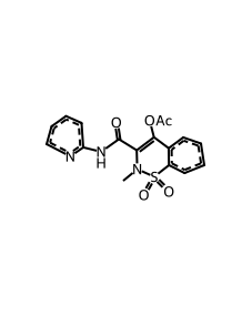 CC(=O)OC1=C(C(=O)Nc2ccccn2)N(C)S(=O)(=O)c2ccccc21